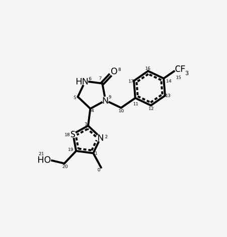 Cc1nc(C2CNC(=O)N2Cc2ccc(C(F)(F)F)cc2)sc1CO